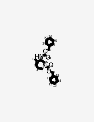 CC1=CCCN(C(=O)OCc2ccccc2)C[C@H]1NC(=O)OCc1ccccc1